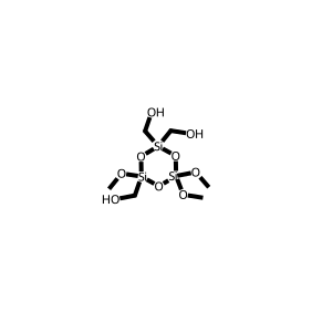 CO[Si]1(CO)O[Si](CO)(CO)O[Si](OC)(OC)O1